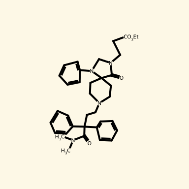 CCOC(=O)CCN1CN(c2ccccc2)C2(CCN(CCC(C(=O)N(C)C)(c3ccccc3)c3ccccc3)CC2)C1=O